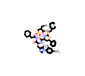 COC(=O)C(CC(C)C)C[PH](=O)OC(CC1CCCCC1)NC(=O)[C@H](Cc1cn(-c2ccc([N+](=O)[O-])cc2[N+](=O)[O-])cn1)NC(=O)C(CCc1ccccc1)NC(=O)OCc1ccccc1